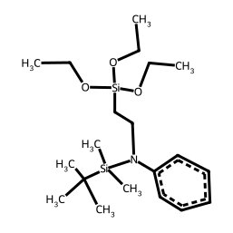 CCO[Si](CCN(c1ccccc1)[Si](C)(C)C(C)(C)C)(OCC)OCC